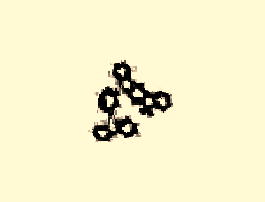 CC1(C)c2ccccc2-c2cc3c4ccccc4n(-c4cccc(-n5c6ccccc6c6ccccc65)c4)c3cc21